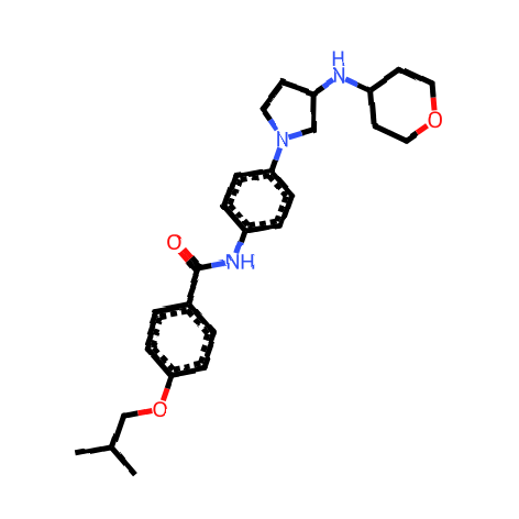 CC(C)COc1ccc(C(=O)Nc2ccc(N3CCC(NC4CCOCC4)C3)cc2)cc1